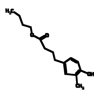 CCCCOC(=O)CCCc1ccc(O)c(C)c1